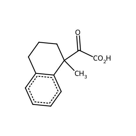 CC1(C(=O)C(=O)O)CCCc2ccccc21